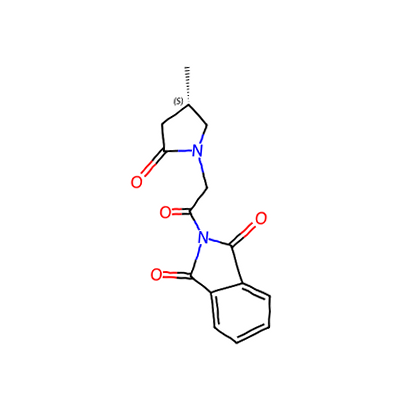 C[C@H]1CC(=O)N(CC(=O)N2C(=O)c3ccccc3C2=O)C1